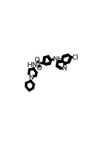 O=S(=O)(NC1CCN(C2CCCCC2)CC1)c1ccc(Nc2ccnc3cc(Cl)ccc23)cc1